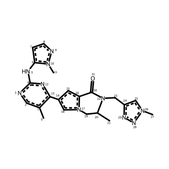 Cc1cnc(Nc2ccnn2C)nc1-c1cc2n(c1)CC(C)N(Cc1cn(C)nn1)C2=O